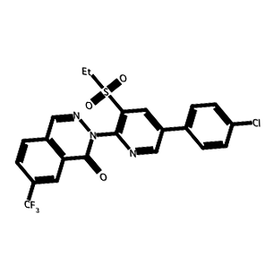 CCS(=O)(=O)c1cc(-c2ccc(Cl)cc2)cnc1-n1ncc2ccc(C(F)(F)F)cc2c1=O